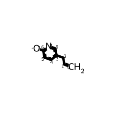 C=CCc1ccc([O])nc1